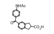 CC(=O)Nc1ccc(C(=O)c2ccc3c(c2)CC(C(=O)O)C3)cc1